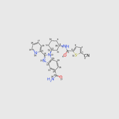 N#Cc1ccc(C(=O)N[C@@H]2CCC[C@H](n3c(-c4ccccn4)nc4cc(C(N)=O)ccc43)C2)s1